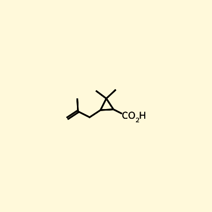 C=C(C)CC1C(C(=O)O)C1(C)C